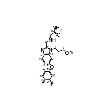 COCCCn1c(CNCC(N)=O)nc2ccc(Oc3ccc(F)c(F)c3)cc21